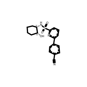 N#Cc1ccc(-c2cccc(S(=O)(=O)N[C@H]3CCCC[C@H]3O)n2)cc1